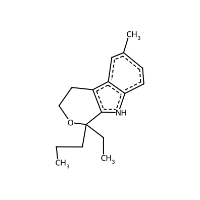 CCCC1(CC)OCCc2c1[nH]c1ccc(C)cc21